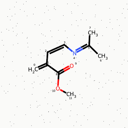 C=C(/C=C\N=C(C)C)C(=O)OC